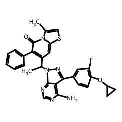 Cc1csc2cc(C(C)n3nc(-c4ccc(OC5CC5)c(F)c4)c4c(N)ncnc43)c(-c3ccccc3)c(=O)n12